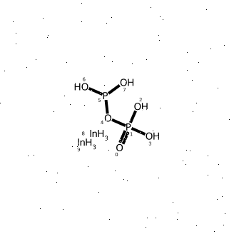 O=P(O)(O)OP(O)O.[InH3].[InH3]